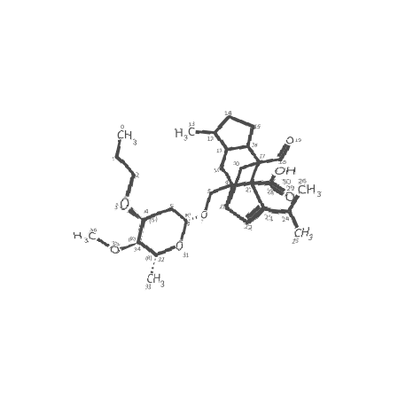 CCCO[C@H]1C[C@H](OCC23CC4C(C)CCC4C4(C=O)CC2C=C(C(C)C)C43C(=O)O)O[C@H](C)[C@H]1OC